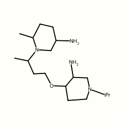 CC(C)N1CCC(OCCC(C)N2CC(N)CCC2C)C(N)C1